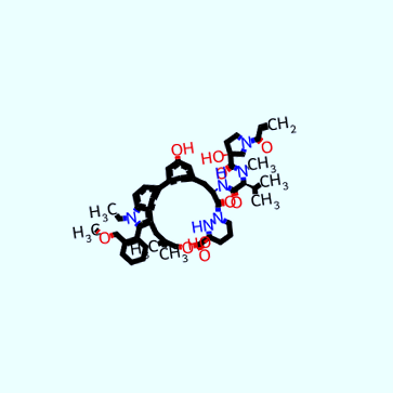 C=CC(=O)N1CC[C@](O)(C(=O)N(C)[C@H](C(=O)N[C@H]2Cc3cc(O)cc(c3)-c3ccc4c(c3)c(c(C3=C(COC)CCCC3)n4CC)CC(C)(C)COC(=O)[C@@]3(O)CCCN(N3)C2=O)C(C)C)C1